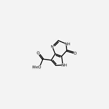 COC(=O)c1c[nH]c2c(=O)[nH]cnc12